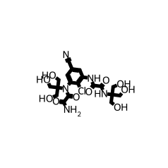 N#Cc1cc(NC(=O)C(=O)NC(CO)(CO)CO)c(Cl)c(N(C(=O)C(N)=O)C(CO)(CO)CO)c1